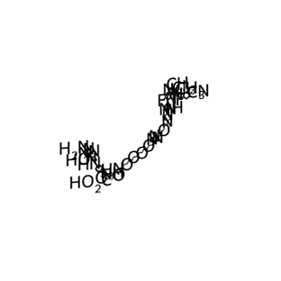 Cc1nc2cc(F)c(-c3cnc(N4CCN(CCOCCn5cc(COCCOCCOCCOCCNC(=O)CC[C@H](NC(=O)c6ccc(NCc7cnc8nc(N)nc(O)c8n7)cc6)C(=O)O)nn5)CC4)nc3)nc2c(N[C@H](C)c2cc(C#N)ccc2F)c1Cl